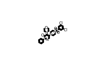 O=c1c(N2CCOCC2)c(N2CCN(S(=O)(=O)c3cc(Cl)cc(Cl)c3)CC2)cnn1-c1ccccc1